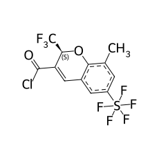 Cc1cc(S(F)(F)(F)(F)F)cc2c1O[C@H](C(F)(F)F)C(C(=O)Cl)=C2